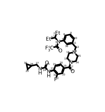 CCC(CC)N(C(=O)C(F)(F)F)c1cccc(CN2CCN(C(=O)c3ccc(NC(=O)NCC4CC4)c(F)c3)CC2)c1